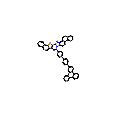 c1ccc2c(c1)ccc1c2ccc2c1nc1c3sc4c5ccccc5ccc4c3cc(-c3ccc(-c4ccc(-c5ccc6c7ccccc7c7ccccc7c6c5)cc4)cc3)n21